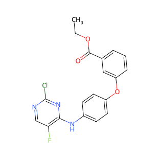 CCOC(=O)c1cccc(Oc2ccc(Nc3nc(Cl)ncc3F)cc2)c1